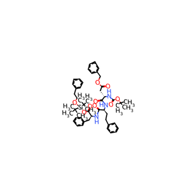 CC(C)(C)OC(=O)N[C@@H](CC(=O)OCc1ccccc1)C(=O)N[C@@H](CCc1ccccc1)C(=O)N[C@@H](Cc1ccccc1)C(=O)O[Si](OCCc1ccccc1)(C(C)(C)C)C(C)(C)C